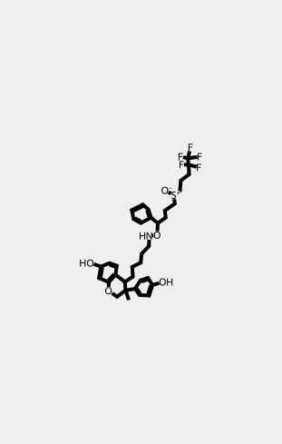 CC1(c2ccc(O)cc2)COc2cc(O)ccc2C1CCCCCNOC(CCC[S+]([O-])CCCC(F)(F)C(F)(F)F)c1ccccc1